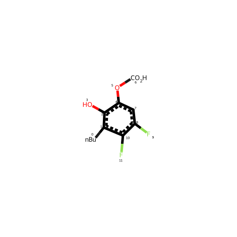 CCCCc1c(O)c(OC(=O)O)cc(F)c1F